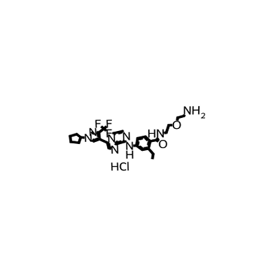 CCc1cc(Nc2nccn3c(-c4cn(C5CCCC5)nc4C(F)(F)F)cnc23)ccc1C(=O)NCCOCCN.Cl